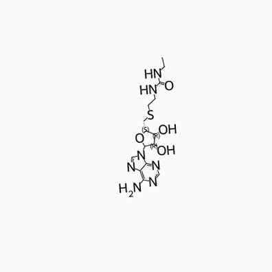 CCNC(=O)NCCSC[C@H]1OC(n2cnc3c(N)ncnc32)[C@H](O)[C@H]1O